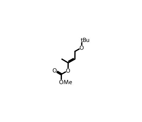 COC(=O)O/C(C)=C/COC(C)(C)C